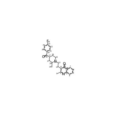 Cc1nc2ccccn2c(=O)c1CCN1CCC(C(=O)c2ccc(F)cc2)CC1I